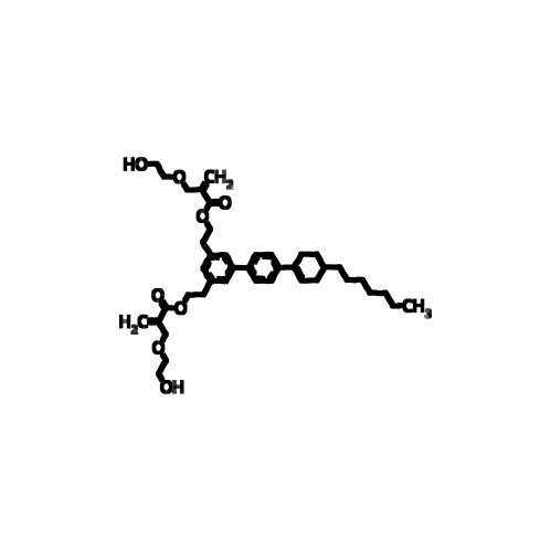 C=C(COCCO)C(=O)OCCc1cc(CCOC(=O)C(=C)COCCO)cc(-c2ccc(C3=CCC(CCCCCCC)CC3)cc2)c1